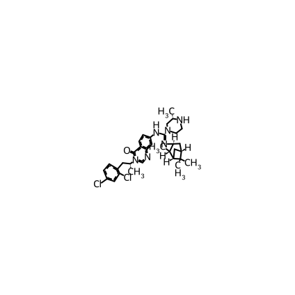 C[C@@H]1[C@@H](N=C(Nc2ccc3c(=O)n([C@H](C)Cc4ccc(Cl)cc4Cl)cnc3c2)N2CCN[C@@H](C)C2)C[C@H]2C[C@@H]1C2(C)C